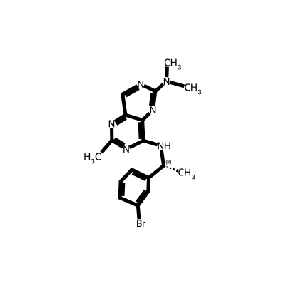 Cc1nc(N[C@H](C)c2cccc(Br)c2)c2nc(N(C)C)ncc2n1